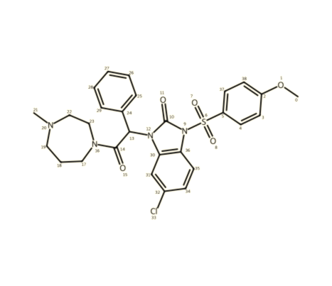 COc1ccc(S(=O)(=O)n2c(=O)n(C(C(=O)N3CCCN(C)CC3)c3ccccc3)c3cc(Cl)ccc32)cc1